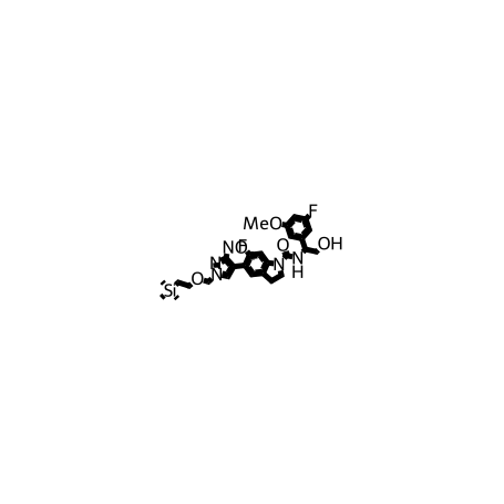 COc1cc(F)cc(C(CO)NC(=O)N2CCc3cc(-c4cn(COCC[Si](C)(C)C)nc4[N+](=O)[O-])c(F)cc32)c1